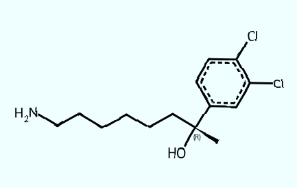 C[C@@](O)(CCCCCCN)c1ccc(Cl)c(Cl)c1